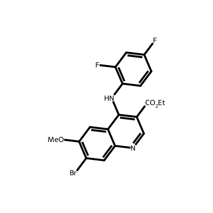 CCOC(=O)c1cnc2cc(Br)c(OC)cc2c1Nc1ccc(F)cc1F